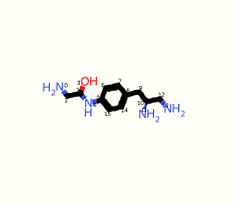 NCC(O)Nc1ccc(C[C@H](N)CN)cc1